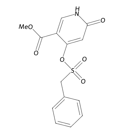 COC(=O)c1c[nH]c(=O)cc1OS(=O)(=O)Cc1ccccc1